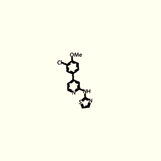 COc1ccc(-c2ccnc(Nc3nccs3)c2)cc1Cl